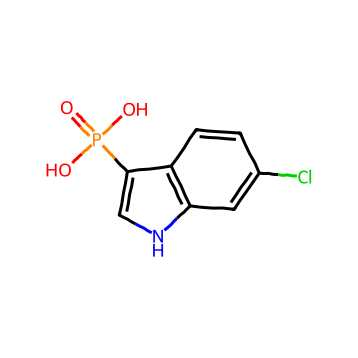 O=P(O)(O)c1c[nH]c2cc(Cl)ccc12